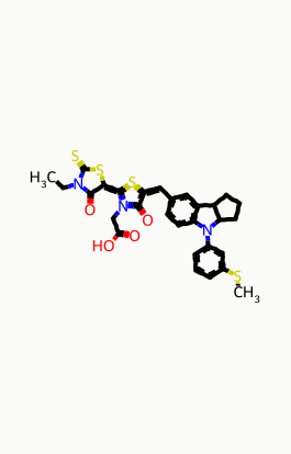 CCN1C(=O)/C(=c2/s/c(=C/c3ccc4c(c3)C3CCCC3N4c3cccc(SC)c3)c(=O)n2CC(=O)O)SC1=S